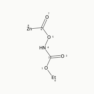 CCOC(=O)NO[C](=O)[Zn]